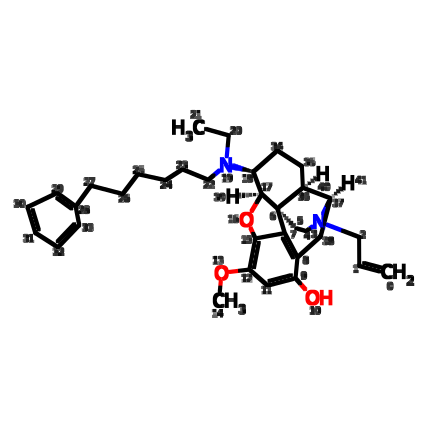 C=CCN1CC[C@]23c4c5c(O)cc(OC)c4O[C@H]2[C@@H](N(CC)CCCCCCc2ccccc2)CC[C@H]3[C@H]1C5